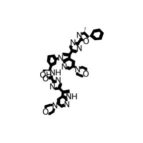 C[C@H]1N=C(c2ncc(-c3cn(-c4cccc([C@H](CO)NC(=O)c5ncc(-c6c[nH]c7ncc(N8CCOCC8)cc67)cn5)c4)c4ncc(N5CCOCC5)cc34)cn2)O[C@H]1c1ccccc1